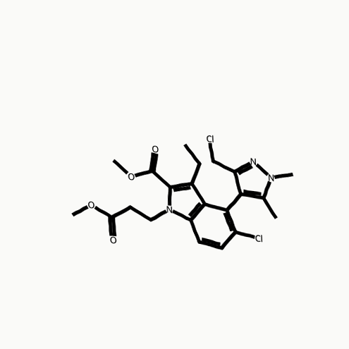 CCc1c(C(=O)OC)n(CCC(=O)OC)c2ccc(Cl)c(-c3c(CCl)nn(C)c3C)c12